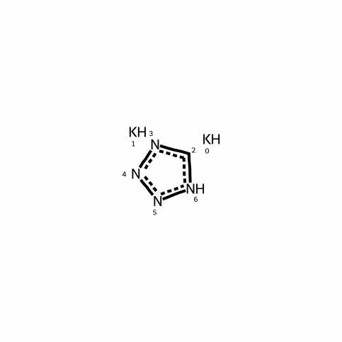 [KH].[KH].c1nnn[nH]1